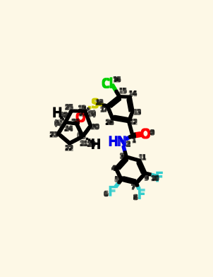 O=C(Nc1cc(F)c(F)c(F)c1)c1ccc(Cl)c(S[C@@H]2C[C@H]3CC[C@@H](C2)C3=O)c1